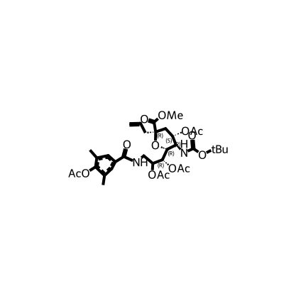 C=CC[C@]1(C(=O)OC)C[C@H](OC(C)=O)[C@@H](NC(=O)OC(C)(C)C)[C@H]([C@H](OC(C)=O)C(CNC(=O)c2cc(C)c(OC(C)=O)c(C)c2)OC(C)=O)O1